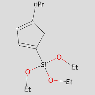 CCCC1=CC=C([Si](OCC)(OCC)OCC)C1